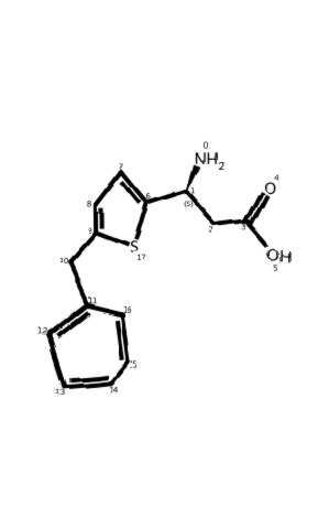 N[C@@H](CC(=O)O)c1ccc(Cc2ccccc2)s1